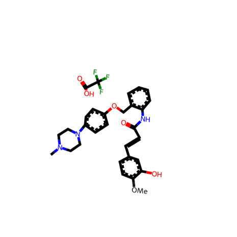 COc1ccc(C=CC(=O)Nc2ccccc2COc2ccc(N3CCN(C)CC3)cc2)cc1O.O=C(O)C(F)(F)F